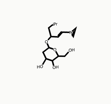 CC(C)CC(C=CN1C=C1)OC1CC(O)C(O)C(CO)O1